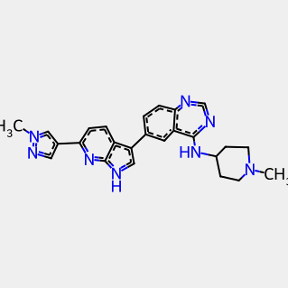 CN1CCC(Nc2ncnc3ccc(-c4c[nH]c5nc(-c6cnn(C)c6)ccc45)cc23)CC1